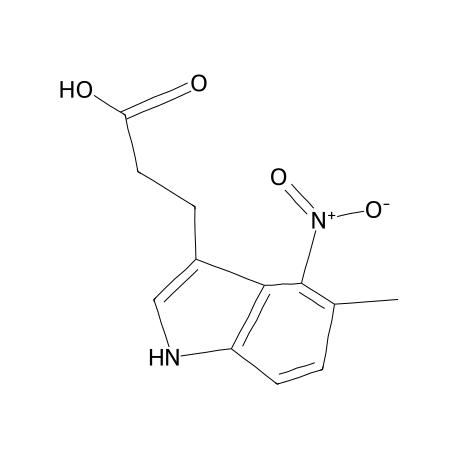 Cc1ccc2[nH]cc(CCC(=O)O)c2c1[N+](=O)[O-]